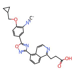 [C-]#[N+]c1cc(-c2nc(-c3cccc4c(CCC(=O)O)nccc34)no2)ccc1OCC1CC1